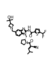 CC(C)/C=C(\C#N)C(=O)N1CCC[C@@H]1Cn1c(NC(=O)c2ccc(C(F)F)s2)nc2cc(CN3CC(C(C)(C)O)C3)ccc21